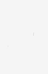 ClC1C[CH]CC(Cl)C1